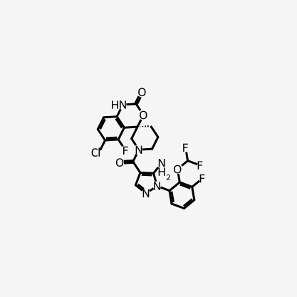 Nc1c(C(=O)N2CCC[C@@]3(C2)OC(=O)Nc2ccc(Cl)c(F)c23)cnn1-c1cccc(F)c1OC(F)F